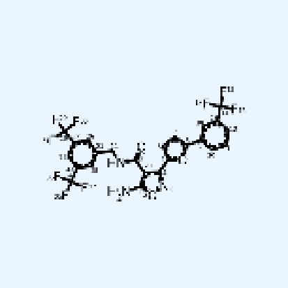 Nc1onc(-c2ccc(-c3cccc(C(F)(F)F)c3)o2)c1C(=O)NCc1cc(C(F)(F)F)cc(C(F)(F)F)c1